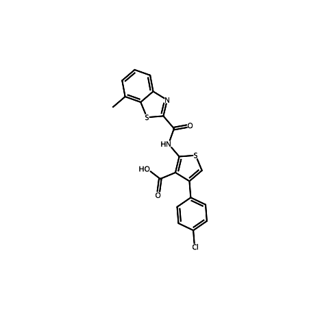 Cc1cccc2nc(C(=O)Nc3scc(-c4ccc(Cl)cc4)c3C(=O)O)sc12